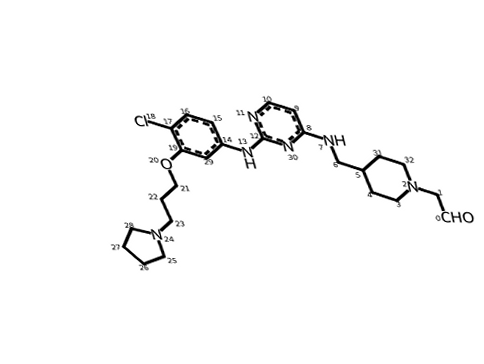 O=CCN1CCC(CNc2ccnc(Nc3ccc(Cl)c(OCCCN4CCCC4)c3)n2)CC1